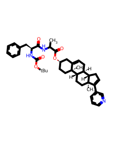 CC(NC(=O)[C@H](Cc1ccccc1)NC(=O)OC(C)(C)C)C(=O)O[C@H]1CC[C@@]2(C)C(=CC[C@@H]3[C@@H]2CC[C@]2(C)C(c4cccnc4)=CC[C@@H]32)C1